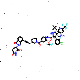 CC(C)(C)C[C@@H]1N[C@@H](C(=O)Nc2ccc(C(=O)N3CCC[C@@H](CC#Cc4cccc5c4CN(C4CCC(=O)NC4=O)C5=O)C3)cc2OC(F)(F)F)[C@H](c2cccc(Cl)c2F)[C@]12CNc1cc(C(F)(F)F)ncc12